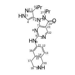 CC(C)c1n[nH]cc1-n1c2nc(Nc3ccc4c(c3)CCNC4)ncc2c(=O)n1C(C)C